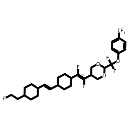 FCCC1CCC(/C=C/C2CCC(/C(F)=C(\F)C3COC(C(F)(F)Oc4ccc(C(F)(F)F)cc4)OC3)CC2)CC1